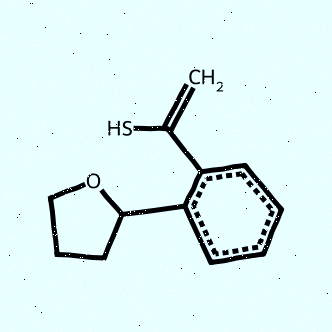 C=C(S)c1ccccc1C1CCCO1